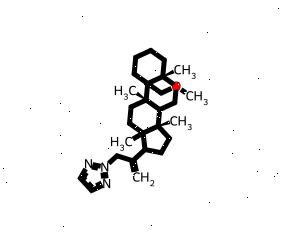 C=C(Cn1nccn1)C1CC[C@@]2(C)C3CC[C@@]4(C)CCCCC4(COC)[C@@]3(C)CCC12C